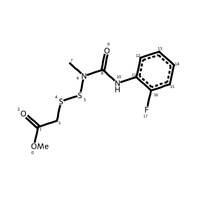 COC(=O)CSSN(C)C(=O)Nc1ccccc1F